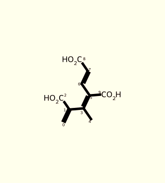 C=C(C(=O)O)C(C)=C(C=CC(=O)O)C(=O)O